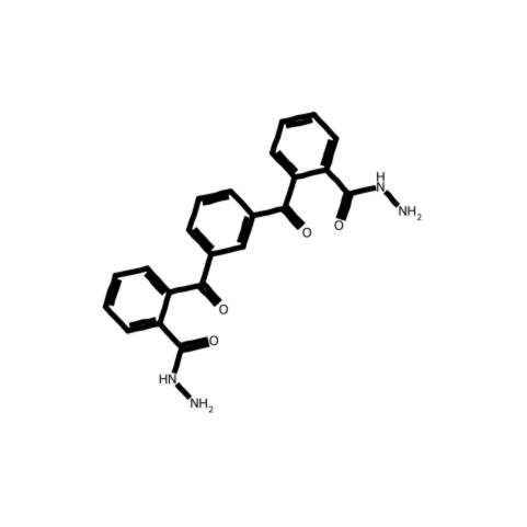 NNC(=O)c1ccccc1C(=O)c1cccc(C(=O)c2ccccc2C(=O)NN)c1